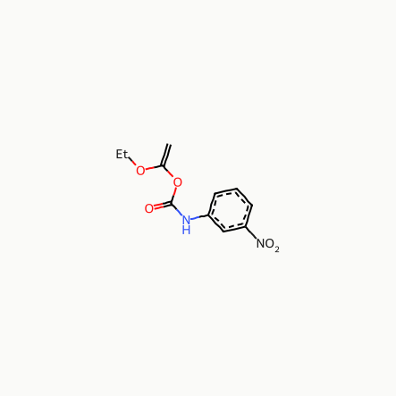 C=C(OCC)OC(=O)Nc1cccc([N+](=O)[O-])c1